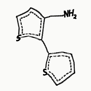 Nc1ccsc1-c1cccs1